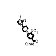 COC(=O)c1ccc(N2CCC(N3CCNC3=O)CC2)c([N+](=O)[O-])c1